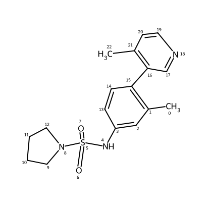 Cc1cc(NS(=O)(=O)N2CCCC2)ccc1-c1cnccc1C